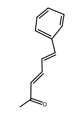 CC(=O)C=C/C=C/c1ccccc1